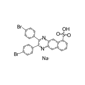 O=S(=O)(O)c1cccc2cc3nc(-c4ccc(Br)cc4)c(-c4ccc(Br)cc4)nc3cc12.[Na]